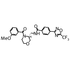 COc1cccc(C(=O)N2CCOC[C@H]2CNC(=O)c2ccc(-c3noc(C(F)(F)F)n3)cc2)c1